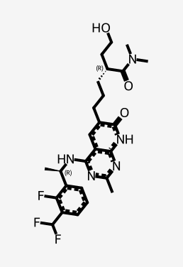 Cc1nc(N[C@H](C)c2cccc(C(F)F)c2F)c2cc(CCC[C@H](CCO)C(=O)N(C)C)c(=O)[nH]c2n1